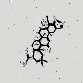 CC[C@]1(C)c2oncc2C[C@]2(C)C3=CC(=O)[C@@H]4[C@@H]5CC(C)(C)C[C@@H](C(=O)OC)C5CC[C@@]4(C)[C@]3(C)CC[C@H]21